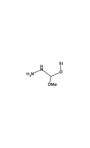 CCOC(NN)OC